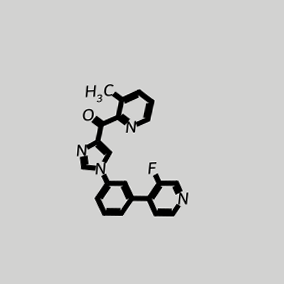 Cc1cccnc1C(=O)c1cn(-c2cccc(-c3ccncc3F)c2)cn1